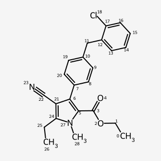 CCOC(=O)c1c(-c2ccc(Cc3ccccc3Cl)cc2)c(C#N)c(CC)n1C